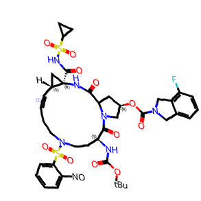 CC(C)(C)OC(=O)N[C@H]1CCN(S(=O)(=O)c2ccccc2N=O)CC/C=C\[C@@H]2C[C@@]2(C(=O)NS(=O)(=O)C2CC2)NC(=O)C2C[C@@H](OC(=O)N3Cc4cccc(F)c4C3)CN2C1=O